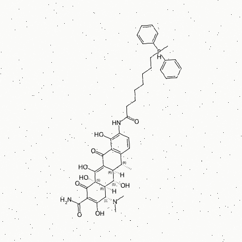 C[C@H]1c2ccc(NC(=O)CCCCCCC[PH](C)(c3ccccc3)c3ccccc3)c(O)c2C(=O)C2=C(O)[C@]3(O)C(=O)C(C(N)=O)=C(O)[C@@H](N(C)C)[C@@H]3[C@@H](O)[C@@H]21